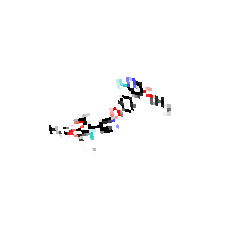 COC(=O)C(C)(F)C(c1ccnc(OC[C@H]2CC[C@H](c3cc(OC)cnc3F)CC2)c1)C1CC1